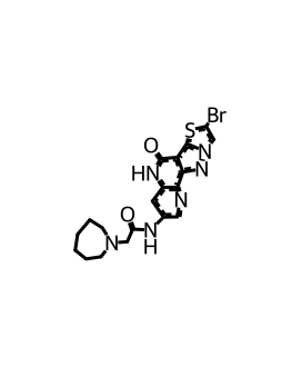 O=C(CN1CCCCCC1)Nc1cnc2c(c1)[nH]c(=O)c1c2nn2cc(Br)sc12